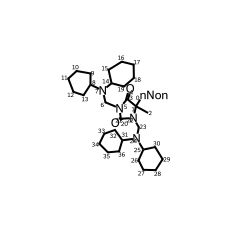 CCCCCCCCCC1(C)C(=O)N(CN(C2CCCCC2)C2CCCCC2)C(=O)N1CN(C1CCCCC1)C1CCCCC1